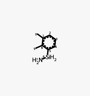 Cc1cccc([SiH2]N)c1C